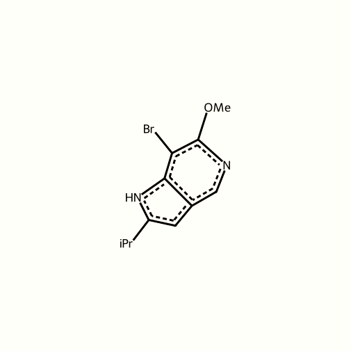 COc1ncc2cc(C(C)C)[nH]c2c1Br